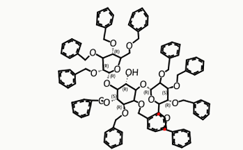 O[C@@H]1C(O[C@H]2OC(COCc3ccccc3)[C@@H](OCc3ccccc3)[C@H](OCc3ccccc3)C2OCc2ccccc2)C(OCc2ccccc2)[C@@H](OCc2ccccc2)[C@H](OCc2ccccc2)C1O[C@H]1OC(COCc2ccccc2)[C@@H](OCc2ccccc2)C(OCc2ccccc2)[C@H]1OCc1ccccc1